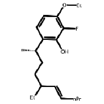 CCC/C=C/C(CC)CC[C@H](C)c1ccc(OCC)c(F)c1O